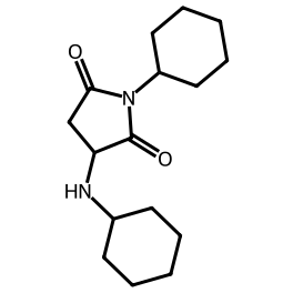 O=C1CC(NC2CCCCC2)C(=O)N1C1CCCCC1